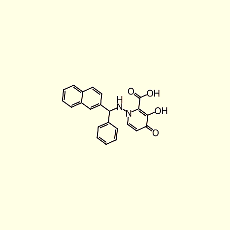 O=C(O)c1c(O)c(=O)ccn1NC(c1ccccc1)c1ccc2ccccc2c1